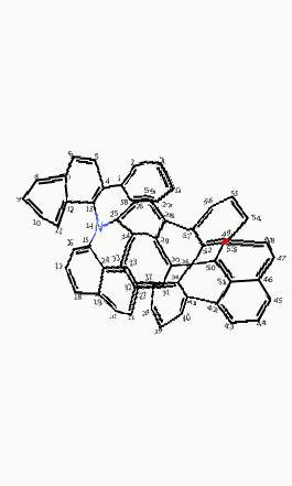 c1ccc(-c2ccc3ccccc3c2N(c2cccc3ccccc23)c2ccc3c4c(cccc24)C2(c4ccccc4-c4cccc5cccc2c45)c2ccccc2-3)cc1